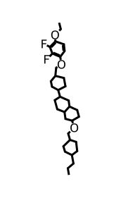 CCCC1CCC(COC2CCC3CC(C4CCC(COc5ccc(OCC)c(F)c5F)CC4)CCC3C2)CC1